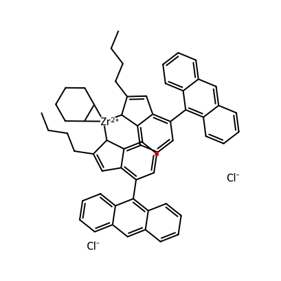 CCCCC1=Cc2c(-c3c4ccccc4cc4ccccc34)cccc2[CH]1[Zr+2]1([CH]2C(CCCC)=Cc3c(-c4c5ccccc5cc5ccccc45)cccc32)[CH]2CCCC[CH]21.[Cl-].[Cl-]